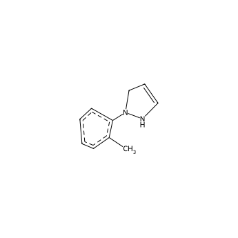 Cc1ccccc1N1CC=CN1